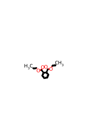 CC=COC(=O)c1ccccc1C(=O)OC=CC